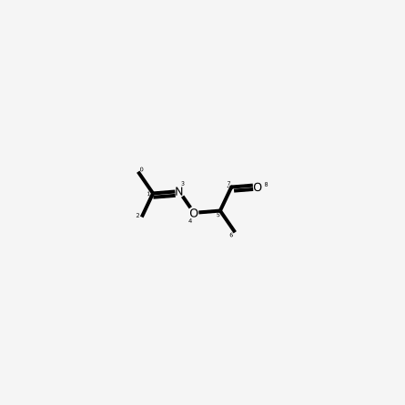 CC(C)=NOC(C)[C]=O